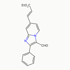 CCOC(=O)/C=C/c1ccn2c(C=O)c(-c3ccccc3)nc2c1